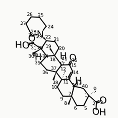 C[C@]1(C(=O)O)CC[C@]2(C)CC[C@]3(C)C(=CC(=O)[C@@H]4[C@@]5(C)CC[C@H](N6CCCCC6)[C@@](C)(C(=O)O)[C@@H]5CC[C@]43C)[C@@H]2C1